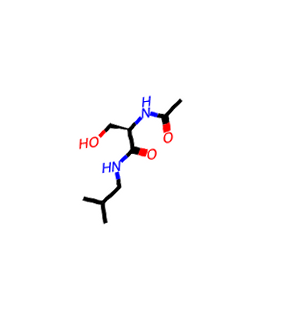 CC(=O)N[C@H](CO)C(=O)NCC(C)C